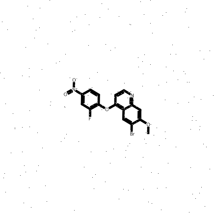 COc1cc2nccc(Oc3ccc([N+](=O)[O-])cc3F)c2cc1Br